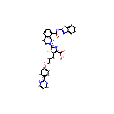 O=C(Nc1nc2ccccc2s1)c1cccc2c1CN(c1nc(C(=O)O)c(CCCOc3ccc(-c4ncccn4)cc3)s1)CC2